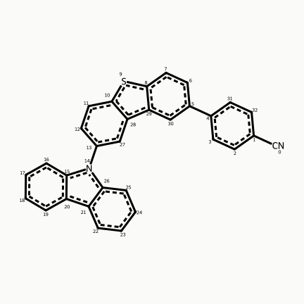 N#Cc1ccc(-c2ccc3sc4ccc(-n5c6ccccc6c6ccccc65)cc4c3c2)cc1